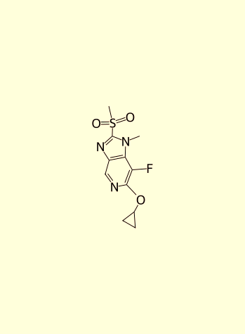 Cn1c(S(C)(=O)=O)nc2cnc(OC3CC3)c(F)c21